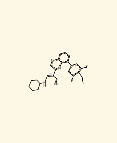 CCc1c(F)cc(-c2cccc3ncc(/C(C=N)=C/NC4CCCCC4)nc23)cc1F